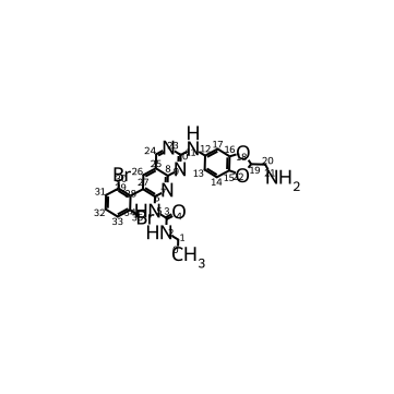 CCNC(=O)Nc1nc2nc(Nc3ccc4c(c3)OC(CN)O4)ncc2cc1-c1c(Br)cccc1Br